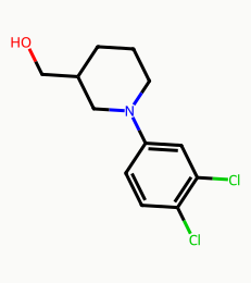 OCC1CCCN(c2ccc(Cl)c(Cl)c2)C1